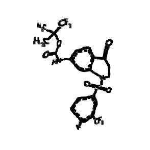 CC(C)(OC(=O)Nc1ccc2c(c1)N(S(=O)(=O)c1ccc(F)c(C(F)(F)F)c1)CCC2=O)C(F)(F)F